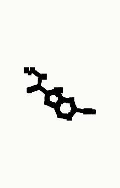 CSc1ncc2cc(C(=O)NN)[nH]c2n1